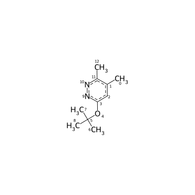 Cc1cc(OC(C)(C)C)nnc1C